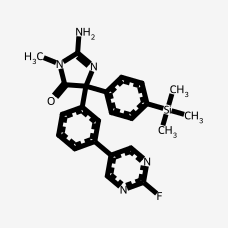 CN1C(=O)C(c2ccc([Si](C)(C)C)cc2)(c2cccc(-c3cnc(F)nc3)c2)N=C1N